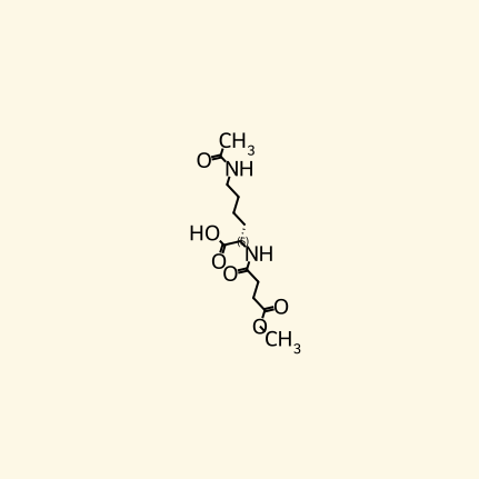 COC(=O)CCC(=O)N[C@@H](CCCCNC(C)=O)C(=O)O